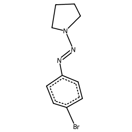 Brc1ccc(/N=N/N2CCCC2)cc1